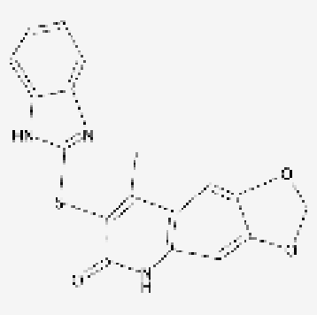 Cc1c(Sc2nc3ccccc3[nH]2)c(=O)[nH]c2cc3c(cc12)OCO3